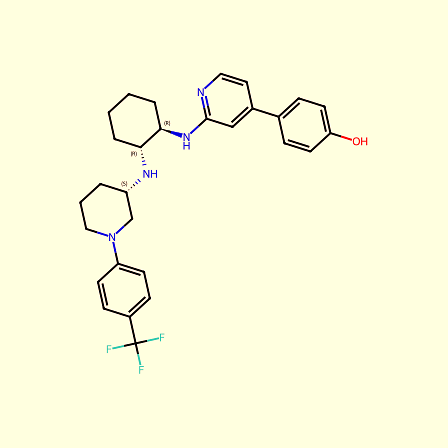 Oc1ccc(-c2ccnc(N[C@@H]3CCCC[C@H]3N[C@H]3CCCN(c4ccc(C(F)(F)F)cc4)C3)c2)cc1